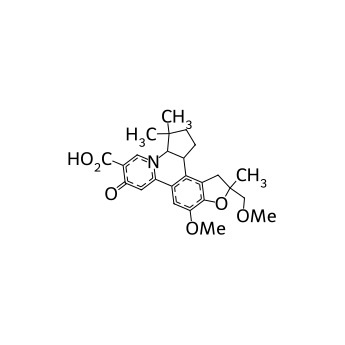 COCC1(C)Cc2c(c(OC)cc3c2C2CCC(C)(C)C2n2cc(C(=O)O)c(=O)cc2-3)O1